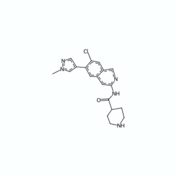 Cn1cc(-c2cc3cc(NC(=O)C4CCNCC4)ncc3cc2Cl)cn1